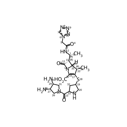 C[C@@H](NC(=O)Cn1cnnn1)[C@H]1C(=O)N2C(C(=O)O)=C(SC3CNC(C(=O)N4CC(N)C(N)C4)C3)[C@H](C)[C@@H]12